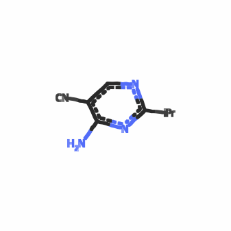 [C-]#[N+]c1cnc(C(C)C)nc1N